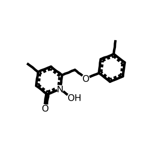 Cc1cccc(OCc2cc(C)cc(=O)n2O)c1